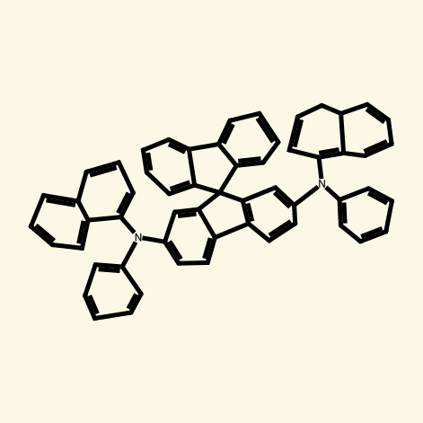 C1=CC2=C(N(c3ccccc3)c3ccc4c(c3)C3(c5ccccc5-c5ccccc53)c3cc(N(c5ccccc5)c5cccc6ccccc56)ccc3-4)C=CCC2C=C1